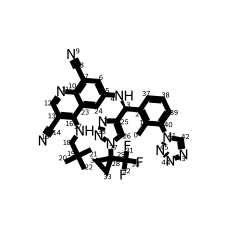 Cc1c([C@H](Nc2cc(C#N)c3ncc(C#N)c(NCC(C)(C)C)c3c2)c2cn(C3(C(F)(F)F)CC3)nn2)cccc1-n1cnnn1